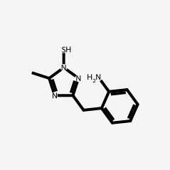 Cc1nc(Cc2ccccc2N)nn1S